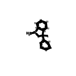 BN1CC(C)(c2ccccc2)c2ccccc21